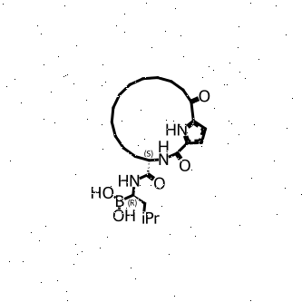 CC(C)C[C@H](NC(=O)[C@@H]1CCCCCCCCCCCC(=O)c2ccc([nH]2)C(=O)N1)B(O)O